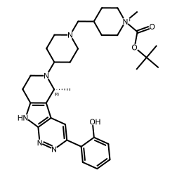 C[C@@H]1c2c([nH]c3nnc(-c4ccccc4O)cc23)CCN1C1CCN(CC2CC[N+](C)(C(=O)OC(C)(C)C)CC2)CC1